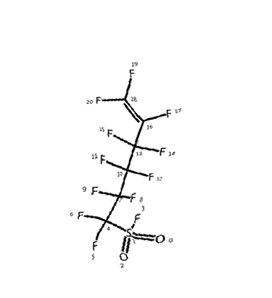 O=S(=O)(F)C(F)(F)C(F)(F)C(F)(F)C(F)(F)C(F)=C(F)F